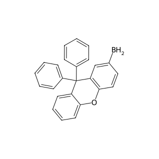 Bc1ccc2c(c1)C(c1ccccc1)(c1ccccc1)c1ccccc1O2